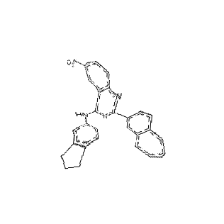 O=[N+]([O-])c1ccc2nc(-c3ccc4ccccc4c3)nc(Nc3ccc4c(c3)CCC4)c2c1